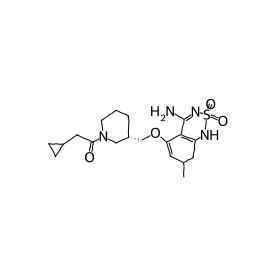 CC1C=C(OC[C@H]2CCCN(C(=O)CC3CC3)C2)C2=C(C1)NS(=O)(=O)N=C2N